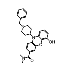 CN(C)C(=O)c1ccc2c(c1)Oc1c(O)cccc1N2C1CCN(Cc2ccccc2)CC1